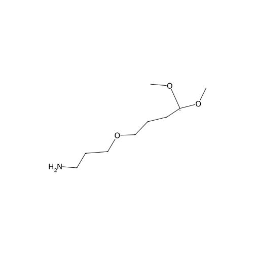 CO[C](CCCOCCCN)OC